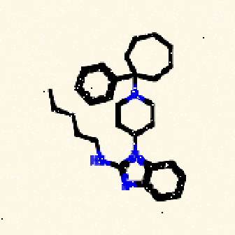 CCCCCNc1nc2ccccc2n1C1CCN(C2(c3ccccc3)CCCCCC2)CC1